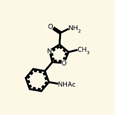 CC(=O)Nc1ccccc1-c1nc(C(N)=O)c(C)o1